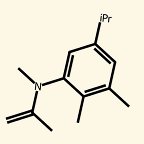 C=C(C)N(C)c1cc(C(C)C)cc(C)c1C